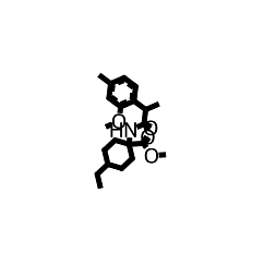 CCC1CCC(NC(=O)C(C)c2ccc(C)cc2OC)(C(=O)OC)CC1